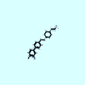 CC/C=C/[C@H]1CC[C@H](CCc2ccc(-c3ccc(F)c(F)c3)cc2)CC1